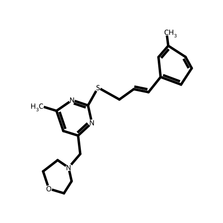 Cc1cccc(C=CCSc2nc(C)cc(CN3CCOCC3)n2)c1